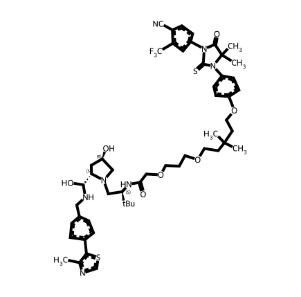 Cc1ncsc1-c1ccc(CNC(O)[C@@H]2C[C@@H](O)CN2C[C@@H](NC(=O)COCCCOCCC(C)(C)CCOc2ccc(N3C(=S)N(c4ccc(C#N)c(C(F)(F)F)c4)C(=O)C3(C)C)cc2)C(C)(C)C)cc1